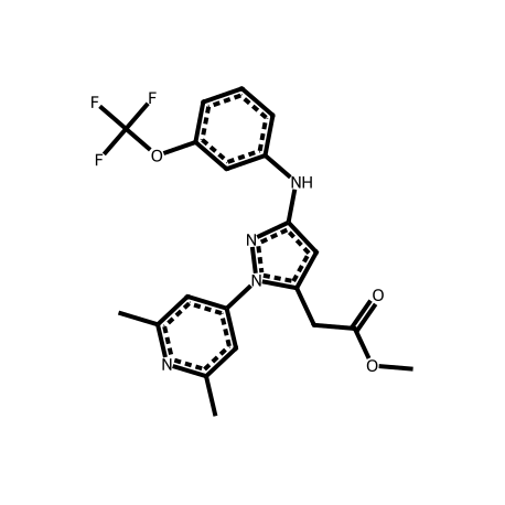 COC(=O)Cc1cc(Nc2cccc(OC(F)(F)F)c2)nn1-c1cc(C)nc(C)c1